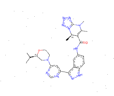 CC1=C(C(=O)Nc2ccc3[nH]nc(-c4cc(N5CCO[C@H](C(C)C)C5)ncn4)c3c2)[C@@H](C)n2nnnc2N1C